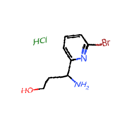 Cl.NC(CCO)c1cccc(Br)n1